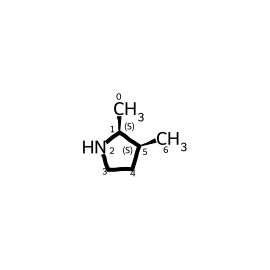 C[C@@H]1NCC[C@@H]1C